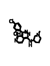 CN1CCCC(Nc2nnc(-c3ccc(Cl)cc3O)c3cnccc23)C1